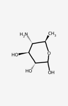 C[C@H]1OC(O)[C@H](O)[C@@H](O)[C@@H]1N